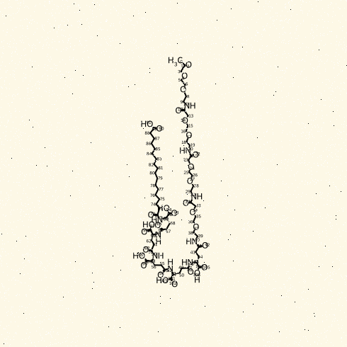 CC(=O)COCCOCCNC(=O)COCCOCCNC(=O)COCCOCCNC(=O)COCCOCCNC(=O)CC[C@H](NC(=O)CC[C@H](NC(=O)CC[C@H](NC(=O)CC[C@H](NC(=O)CC[C@H](NC(=O)CCCCCCCCCCCCCCCCC(=O)O)C(=O)O)C(=O)O)C(=O)O)C(=O)O)C(=O)O